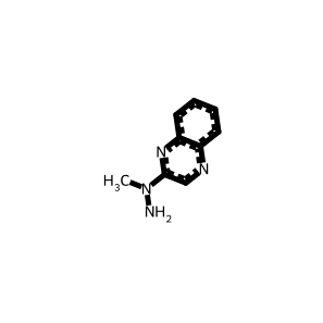 CN(N)c1cnc2ccccc2n1